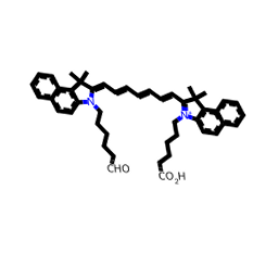 CC1(C)C(/C=C/C=C/C=C/C=C2\N(CCCCCC=O)c3ccc4ccccc4c3C2(C)C)=[N+](CCCCCC(=O)O)c2ccc3ccccc3c21